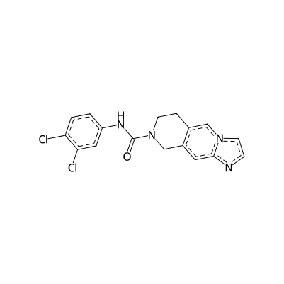 O=C(Nc1ccc(Cl)c(Cl)c1)N1CCc2cn3ccnc3cc2C1